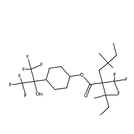 CCC(C)(C)CC(C(=O)OC1CCC(C(O)(C(F)(F)F)C(F)(F)F)CC1)(C(F)(F)F)C(C)(C)CC